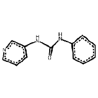 O=C(Nc1[c]nccc1)Nc1ccccc1